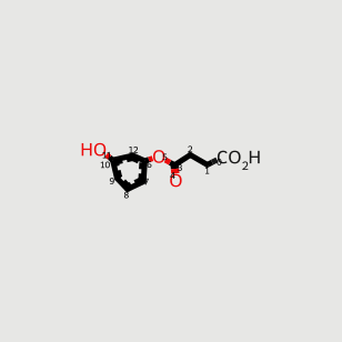 O=C(O)CCC(=O)Oc1cccc(O)c1